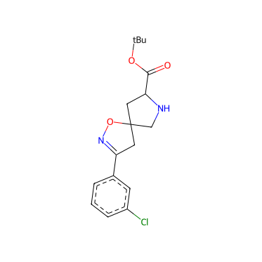 CC(C)(C)OC(=O)C1CC2(CN1)CC(c1cccc(Cl)c1)=NO2